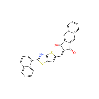 O=C1C(=Cc2cc3sc(-c4cccc5ccccc45)nc3s2)C(=O)c2cc3ccccc3cc21